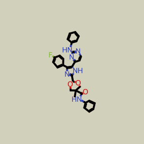 CC1(C(=O)Nc2ccccc2)COC(c2nc(-c3ccc(F)cc3)c(-c3ccnc(Nc4ccccc4)n3)[nH]2)OC1